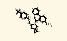 Cc1ccc(-c2ccccc2)c(C(=O)N2CC3(CC3)C[C@H]2CNc2ccc(C(F)(F)F)cn2)n1